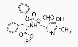 CC1=NCC(COP(=O)(N[C@@H](Cc2ccccc2)C(=O)OC(C)C)Oc2ccccc2)C(C=O)=C1O